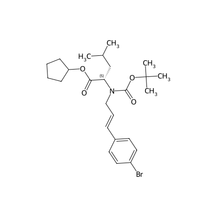 CC(C)C[C@@H](C(=O)OC1CCCC1)N(CC=Cc1ccc(Br)cc1)C(=O)OC(C)(C)C